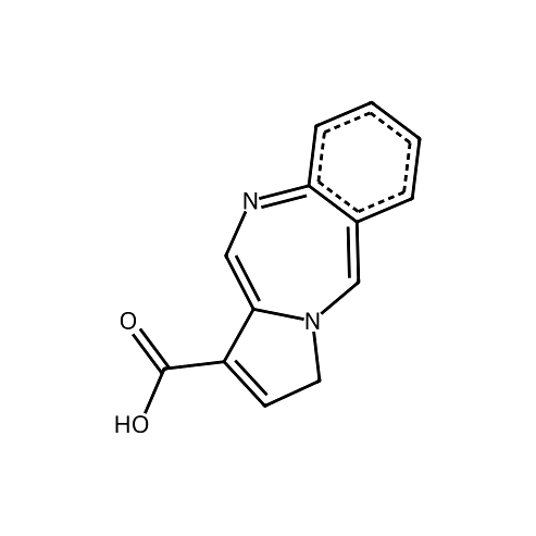 O=C(O)C1=CCN2C=c3ccccc3=NC=C12